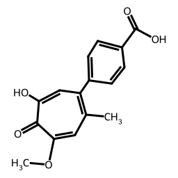 COc1cc(C)c(-c2ccc(C(=O)O)cc2)cc(O)c1=O